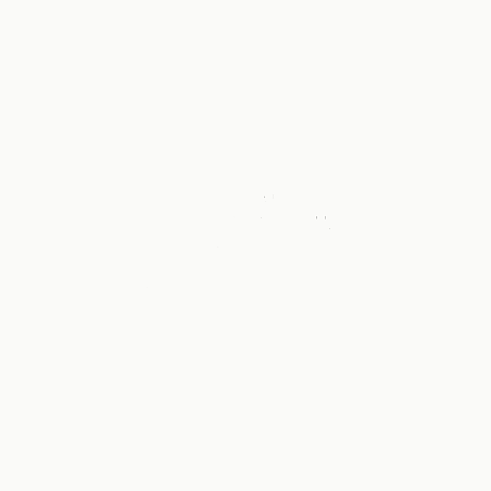 CC1Cc2ccc3cccc4ccc(c2c34)=C1C(=O)c1ccccc1C(=O)O